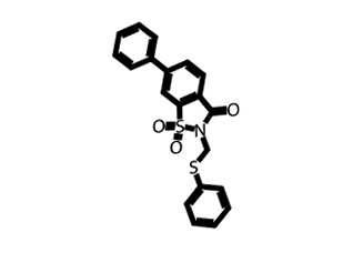 O=C1c2ccc(-c3ccccc3)cc2S(=O)(=O)N1CSc1ccccc1